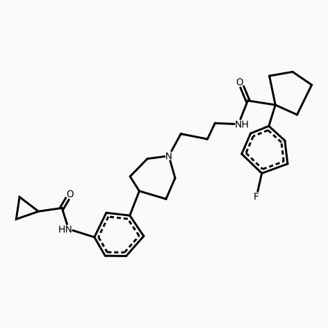 O=C(Nc1cccc(C2CCN(CCCNC(=O)C3(c4ccc(F)cc4)CCCC3)CC2)c1)C1CC1